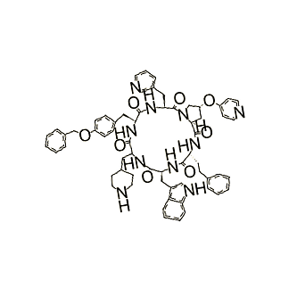 O=C1N[C@@H](Cc2ccc(OCc3ccccc3)cc2)C(=O)N[C@@H](Cc2cccnc2)C(=O)N2C[C@H](Oc3ccncc3)C[C@H]2C(=O)N[C@H](CCc2ccccc2)C(=O)N[C@@H](Cc2c[nH]c3ccccc23)C(=O)NC1CC1CCNCC1